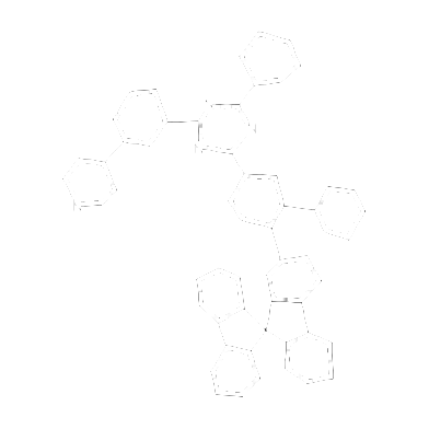 c1ccc(-c2nc(-c3cccc(-c4ccncc4)c3)nc(-c3ccc(-c4ccc5c(c4)C4(c6ccccc6-c6ccccc64)c4ccccc4-5)c(-c4ccccc4)c3)n2)cc1